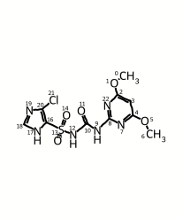 COc1cc(OC)nc(NC(=O)NS(=O)(=O)c2[nH]cnc2Cl)n1